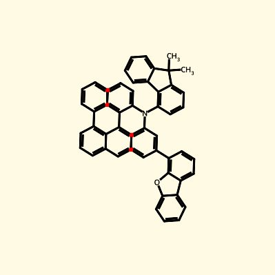 CC1(C)c2ccccc2-c2c(N(c3cccc(-c4cccc5c4oc4ccccc45)c3)c3ccccc3-c3cccc4cccc(-c5ccccc5)c34)cccc21